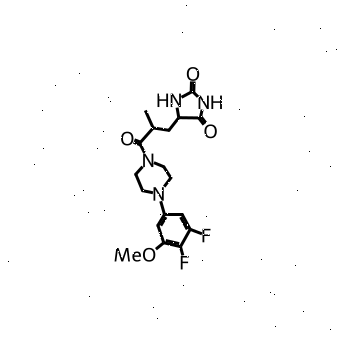 COc1cc(N2CCN(C(=O)C(C)CC3NC(=O)NC3=O)CC2)cc(F)c1F